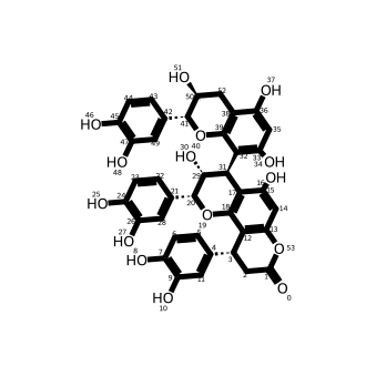 O=C1C[C@H](c2ccc(O)c(O)c2)c2c(cc(O)c3c2O[C@H](c2ccc(O)c(O)c2)[C@H](O)[C@H]3c2c(O)cc(O)c3c2O[C@H](c2ccc(O)c(O)c2)[C@@H](O)C3)O1